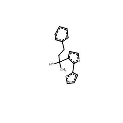 CC(O)(CCc1ccccc1)c1ccsc1-c1cccs1